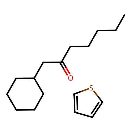 CCCCCC(=O)CC1CCCCC1.c1ccsc1